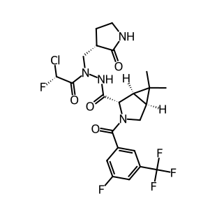 CC1(C)[C@@H]2[C@@H](C(=O)NN(C[C@@H]3CCNC3=O)C(=O)[C@H](F)Cl)N(C(=O)c3cc(F)cc(C(F)(F)F)c3)C[C@@H]21